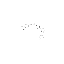 CCS(=O)(=O)c1ccc(CNC(=O)c2ccc(N3CC[C@@H](Oc4ccc(C(F)(F)F)cc4)C3=O)cc2)cc1